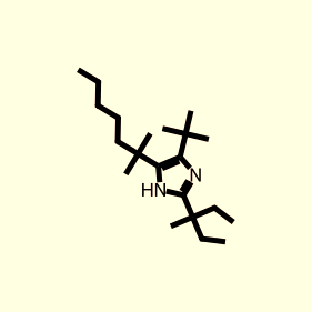 CCCCCC(C)(C)c1[nH]c(C(C)(CC)CC)nc1C(C)(C)C